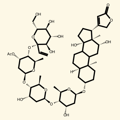 C=C[C@@]1(O[C@H]2[C@@H](OC(C)=O)C[C@H](O[C@H]3[C@@H](O)C[C@H](O[C@H]4[C@@H](O)C[C@H](O[C@H]5CC[C@]6(C)C7C[C@@H](O)[C@]8(C)[C@@H](C9=CC(=O)OC9)CC[C@]8(O)C7CC[C@@H]6C5)O[C@@H]4C)O[C@@H]3C)O[C@@H]2C)O[C@H](CO)[C@@H](O)[C@H](O)[C@H]1O